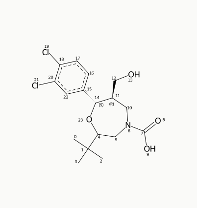 CC(C)(C)C1CN(C(=O)O)C[C@H](CO)[C@@H](c2ccc(Cl)c(Cl)c2)O1